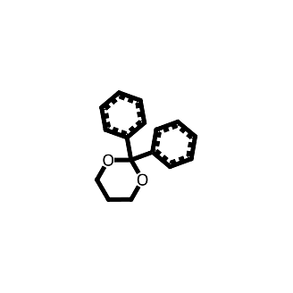 c1ccc(C2(c3ccccc3)OCCCO2)cc1